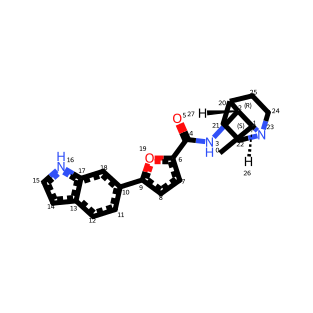 C[C@H]1[C@H](NC(=O)c2ccc(-c3ccc4cc[nH]c4c3)o2)C2CCN1CC2